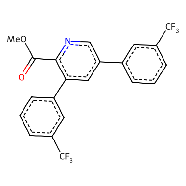 COC(=O)c1ncc(-c2cccc(C(F)(F)F)c2)cc1-c1cccc(C(F)(F)F)c1